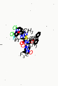 CC(C)C1=C(C(=O)N2C[C@@](C)(O[Si](c3ccccc3)(c3ccccc3)C(C)(C)C)C[C@@H]2C(=O)N2CC3(CC3)N(C(=O)C(F)(F)F)C[C@@H]2C)SC2=N[C@@](C)(c3ccc(Cl)nc3)[C@@H](c3ccc(Cl)c(F)c3)N21